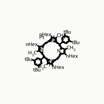 CCCCCCC1=C(C)c2nc1cc1[nH]c(c(C)c1CCCCCC)c(-c1cc(C(C)(C)C)cc(C(C)(C)C)c1)c1nc(cc3[nH]c(c(C)c3CCCCCC)c2-c2cc(C(C)(C)C)cc(C(C)(C)C)c2)C(CCCCCC)=C1C.[Pt]